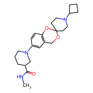 CNC(=O)C1CCCN(c2ccc3c(c2)COC2(CCN(C4CCC4)CC2)O3)C1